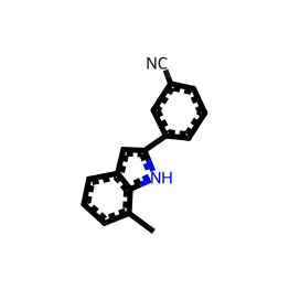 Cc1cccc2cc(-c3cccc(C#N)c3)[nH]c12